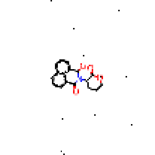 O=C1OCCCC1N1C(=O)c2cccc3cccc(c23)C1=O